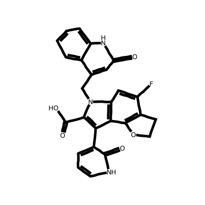 O=C(O)c1c(-c2ccc[nH]c2=O)c2c3c(c(F)cc2n1Cc1cc(=O)[nH]c2ccccc12)CCO3